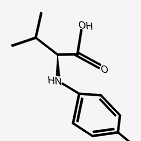 CC(C)[C@H](Nc1ccc(Cl)cc1)C(=O)O